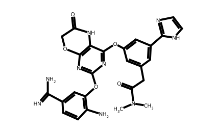 CN(C)C(=O)Cc1cc(Oc2nc(Oc3cc(C(=N)N)ccc3N)nc3c2NC(=O)CO3)cc(-c2ncc[nH]2)c1